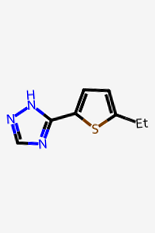 CCc1ccc(-c2ncn[nH]2)s1